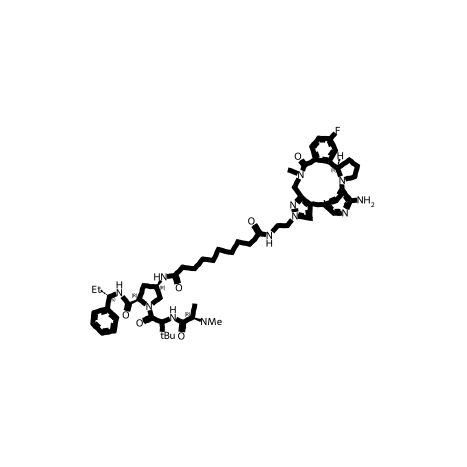 CC[C@H](NC(=O)[C@H]1C[C@@H](NC(=O)CCCCCCCCC(=O)NCCn2cc3c(n2)CN(C)C(=O)c2ccc(F)cc2[C@H]2CCCN2c2cc-3cnc2N)CN1C(=O)C(NC(=O)[C@@H](C)NC)C(C)(C)C)c1ccccc1